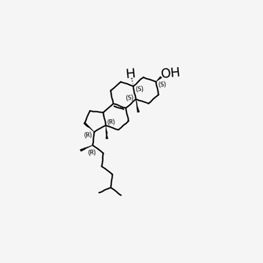 CC(C)CCC[C@@H](C)[C@H]1CCC2C3=C(CC[C@@]21C)[C@@]1(C)CC[C@H](O)C[C@@H]1CC3